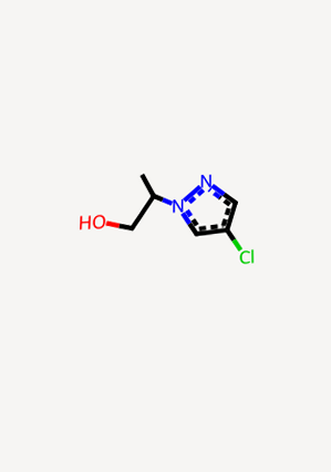 CC(CO)n1cc(Cl)cn1